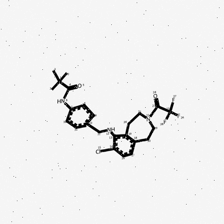 CC(C)(C)C(=O)Nc1ccc(CNc2c(Cl)ccc3c2CCN(C(=O)C(F)(F)F)CC3)cc1